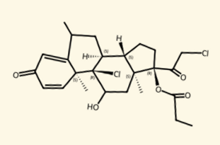 CCC(=O)O[C@]1(C(=O)CCl)CC[C@H]2[C@@H]3CC(C)C4=CC(=O)C=C[C@]4(C)[C@@]3(Cl)C(O)C[C@@]21C